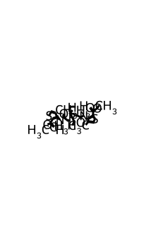 CC[PH](CC)(CC(=O)Nc1c(C)csc1C(=O)OC)CC(=O)Nc1c(C)csc1C(=O)OC